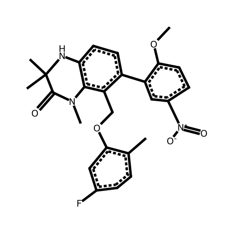 COc1ccc([N+](=O)[O-])cc1-c1ccc2c(c1COc1cc(F)ccc1C)N(C)C(=O)C(C)(C)N2